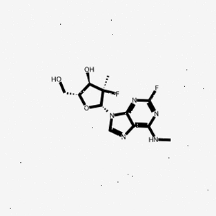 CNc1nc(F)nc2c1ncn2[C@@H]1O[C@H](CO)[C@@H](O)[C@@]1(C)F